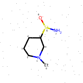 CCN1CCCC([S+](N)[O-])C1